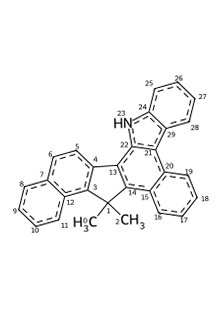 CC1(C)c2c(ccc3ccccc23)-c2c1c1ccccc1c1c2[nH]c2ccccc21